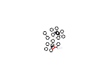 CC1(C)c2ccccc2N(c2cc3c4c(c2)N(c2cccc([Si](c5ccccc5)(c5ccccc5)c5ccccc5)c2)c2cc([Si](c5ccccc5)(c5ccccc5)c5ccccc5)ccc2B4c2cc(-c4ccccc4)ccc2N3c2cccc([Si](c3ccccc3)(c3ccccc3)c3ccccc3)c2)c2ccccc21